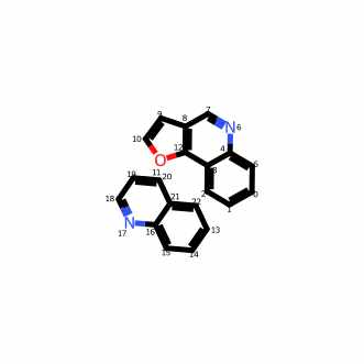 c1ccc2c(c1)ncc1ccoc12.c1ccc2ncccc2c1